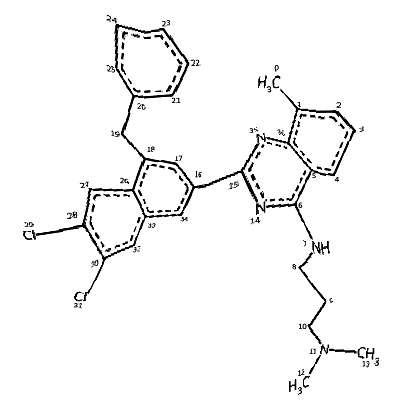 Cc1cccc2c(NCCCN(C)C)nc(-c3cc(Cc4ccccc4)c4cc(Cl)c(Cl)cc4c3)nc12